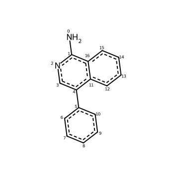 Nc1ncc(-c2ccccc2)c2ccccc12